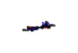 COC(=O)N[C@H](C(=O)N1CCC[C@H]1c1ncc(-c2ccc(C#Cc3ccc4nc([C@@H]5C[C@H](C6CC6)CN5C(=O)[C@@H](NC(=O)OC)C(C)C)[nH]c4c3)cc2)[nH]1)C(C)C